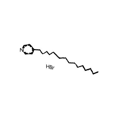 Br.CCCCCCCCCCCCCCCc1ccncc1